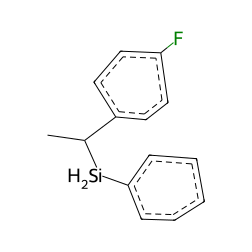 CC([SiH2]c1ccccc1)c1ccc(F)cc1